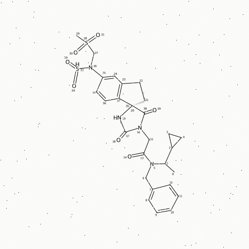 CC(C1CC1)N(Cc1ccccc1)C(=O)CN1C(=O)N[C@]2(CCc3cc(N(CS(C)(=O)=O)[SH](=O)=O)ccc32)C1=O